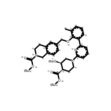 CO[C@H]1CN(c2cccc(-c3cccc(C)c3OCc3ccc4c(c3)CCN(C(=O)OC(C)(C)C)C4)n2)CC[C@H]1C(=O)OC(C)(C)C